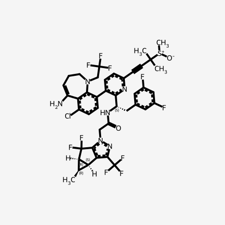 C[C@@H]1[C@@H]2c3c(C(F)(F)F)nn(CC(=O)N[C@@H](Cc4cc(F)cc(F)c4)c4nc(C#CC(C)(C)[S+](C)[O-])ccc4-c4ccc(Cl)c5c4N(CC(F)(F)F)CCC=C5N)c3C(F)(F)[C@H]12